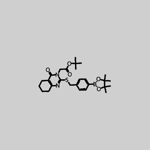 CC(C)(C)OC(=O)Cn1c(SCc2ccc(B3OC(C)(C)C(C)(C)O3)cc2)nc2c(c1=O)CCCC2